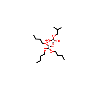 CCCCO[Si](OCCCC)(OCCCC)[O][Ti]([OH])([OH])[O]CC(C)C